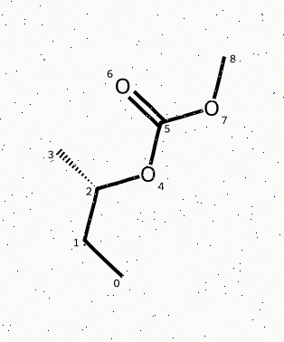 C[CH][C@H](C)OC(=O)OC